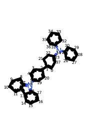 C1=C(c2ccc(-n3c4ccccc4c4ccccc43)cc2)CCC(N(c2ccccc2)c2ccccc2)=C1